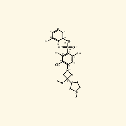 COC1(C2CCN(C)C2)CN(c2cc(F)c(S(=O)(=O)Nc3cccc(F)n3)c(F)c2Cl)C1